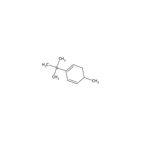 CC1C=CC([Si](C)(C)C)=CC1